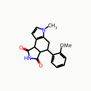 COc1ccccc1C1Cc2c(ccn2C)C2C(=O)NC(=O)C12